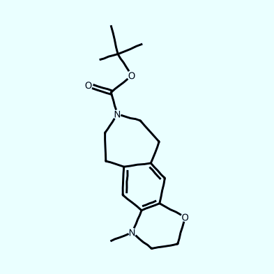 CN1CCOc2cc3c(cc21)CCN(C(=O)OC(C)(C)C)CC3